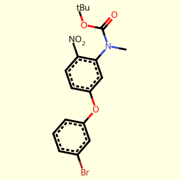 CN(C(=O)OC(C)(C)C)c1cc(Oc2cccc(Br)c2)ccc1[N+](=O)[O-]